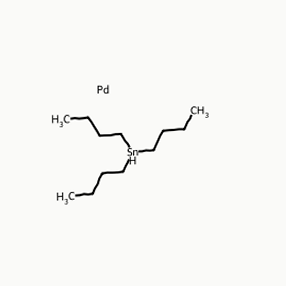 CCC[CH2][SnH]([CH2]CCC)[CH2]CCC.[Pd]